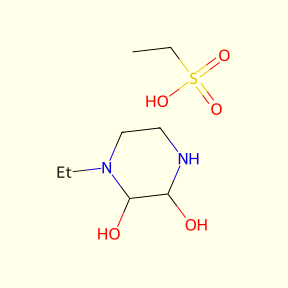 CCN1CCNC(O)C1O.CCS(=O)(=O)O